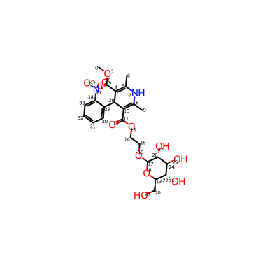 COC(=O)C1=C(C)NC(C)=C(C(=O)OCCO[C@@H]2O[C@H](CO)[C@@H](O)[C@H](O)[C@H]2O)C1c1ccccc1[N+](=O)[O-]